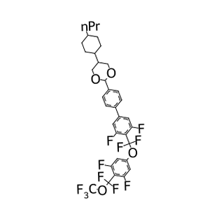 CCCC1CCC(C2COC(c3ccc(-c4cc(F)c(C(F)(F)Oc5cc(F)c(C(F)(F)OC(F)(F)F)c(F)c5)c(F)c4)cc3)OC2)CC1